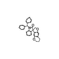 O=C1N(C(c2ccccc2)c2ccccc2)c2ccccc2C12COc1cc3c(cc12)OCCC3